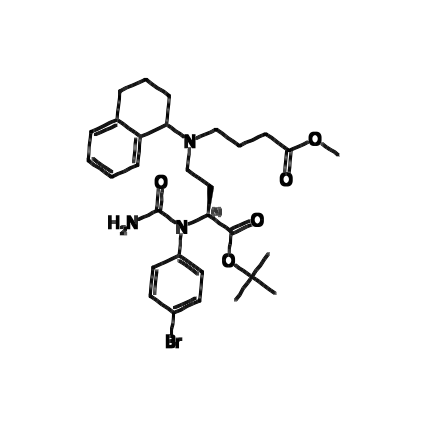 COC(=O)CCCN(CC[C@@H](C(=O)OC(C)(C)C)N(C(N)=O)c1ccc(Br)cc1)C1CCCc2ccccc21